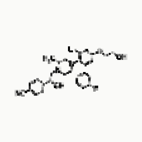 C[C@@H]1CN(c2ccc(OCCO)cc2Cl)[C@H](c2ccc(F)cc2)CN1C[C@@H](O)c1ccc(C#N)cc1